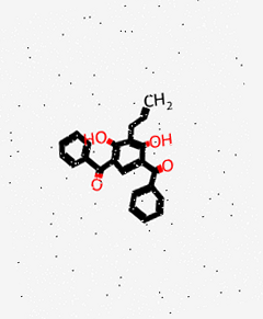 C=CCc1c(O)c(C(=O)c2ccccc2)cc(C(=O)c2ccccc2)c1O